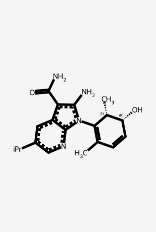 CC1=C(n2c(N)c(C(N)=O)c3cc(C(C)C)cnc32)[C@H](C)[C@H](O)C=C1